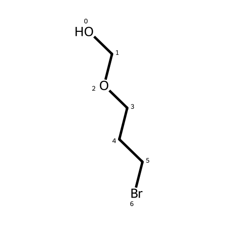 OCOCCCBr